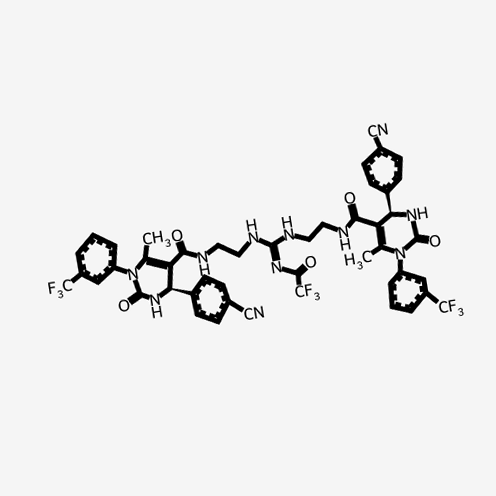 CC1=C(C(=O)NCCNC(=NC(=O)C(F)(F)F)NCCNC(=O)C2=C(C)N(c3cccc(C(F)(F)F)c3)C(=O)N[C@@H]2c2ccc(C#N)cc2)[C@@H](c2ccc(C#N)cc2)NC(=O)N1c1cccc(C(F)(F)F)c1